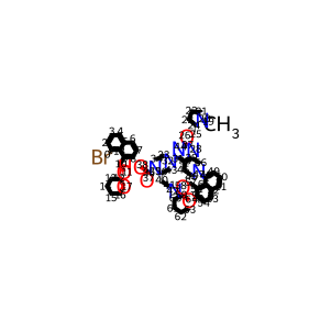 Brc1cccc2cccc(CO[C@H]3CCCCO3)c12.CN1CCC[C@H]1COc1nc2c(c(N3CCN(C(=O)O)[C@@H](CC#N)C3)n1)CCN(c1cccc3cccc(COC4CCCCO4)c13)C2